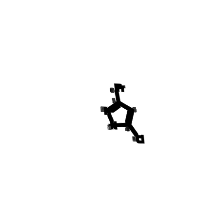 CC(C)C1=N[N]C(Cl)=C1